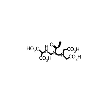 C=CC(=O)N(CNC(C(=O)O)C(=O)O)CN(CC(=O)O)CC(=O)O